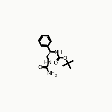 CC(C)(C)OC(=O)N[C@@H](CNC(N)=O)c1ccccc1